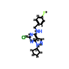 Fc1ccc(CNc2nc(Cl)nc3c2cnn3C2CCCC2)cc1